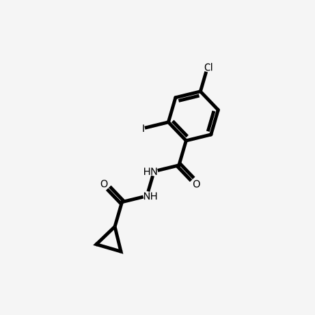 O=C(NNC(=O)C1CC1)c1ccc(Cl)cc1I